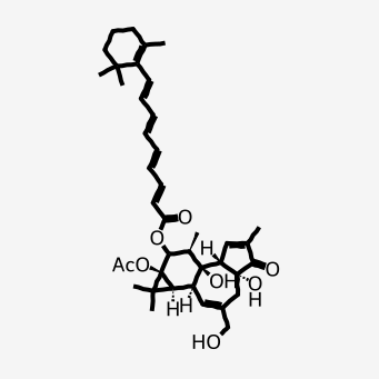 CC(=O)O[C@@]12C(OC(=O)/C=C/C=C/C=C/C=C/C3=C(C)CCCC3(C)C)[C@@H](C)[C@@]3(O)[C@@H](C=C(CO)C[C@]4(O)C(=O)C(C)=C[C@@H]34)[C@H]1C2(C)C